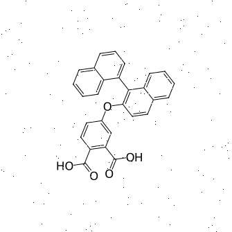 O=C(O)c1ccc(Oc2ccc3ccccc3c2-c2cccc3ccccc23)cc1C(=O)O